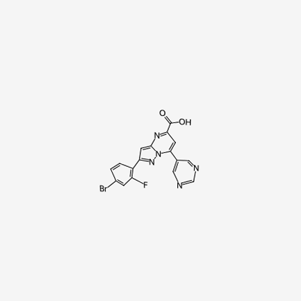 O=C(O)c1cc(-c2cncnc2)n2nc(-c3ccc(Br)cc3F)cc2n1